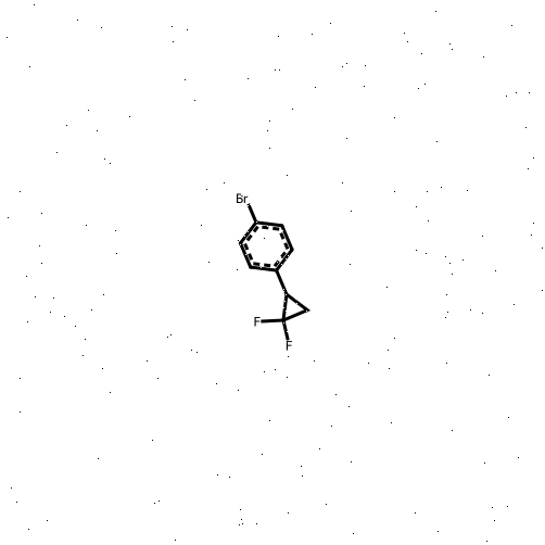 FC1(F)CC1c1ccc(Br)cc1